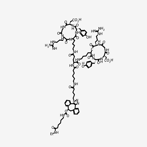 CCNC(=O)CCCCCNC(=O)OC1Cc2ccccc2-c2nnn(CCCCC(=O)NCCCCCC(=O)NC(CCC(=O)NCCCCC3NC(=O)[C@@H](CCCNC(=N)N)NC(=O)CNC(=O)[C@@H](CC(=O)O)NC(=O)[C@H](Cc4ccc(O)cc4)NC3=O)C(=O)NCCCCC3CC(=O)[C@@H](CCCNC(=N)N)NC(=O)CNC(=O)[C@@H](CC(=O)O)NC(=O)[C@H](Cc4ccc(O)cc4)NC3=O)c2-c2ccccc21